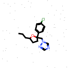 CCCC1CCC(Cn2cncn2)(c2ccc(Cl)cc2)O1